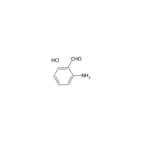 Cl.Nc1ccccc1C=O